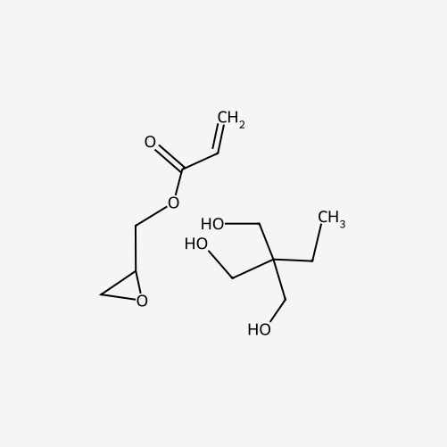 C=CC(=O)OCC1CO1.CCC(CO)(CO)CO